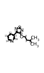 CC(C)CCOc1nsnc1-c1cccnc1